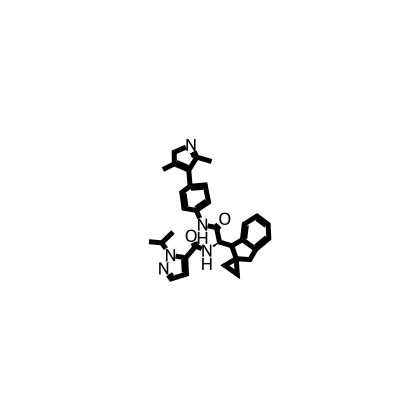 CC1=NCC(C)=C1c1ccc(NC(=O)[C@@H](NC(=O)c2ccnn2C(C)C)C2c3ccccc3CC23CC3)cc1